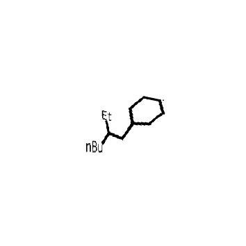 CCCCC(CC)CC1CC[CH]CC1